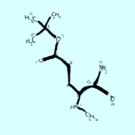 CNC(CCC(=O)OC(C)(C)C)C(N)=O